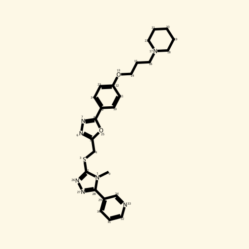 Cn1c(SCc2nnc(-c3ccc(OCCCN4CCCCC4)cc3)o2)nnc1-c1cccnc1